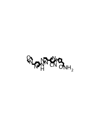 N#Cc1cc(-c2ccnc(Nc3ccc(CN4CCOCC4)nc3)n2)cnc1N1CCC(CC(N)=O)C1